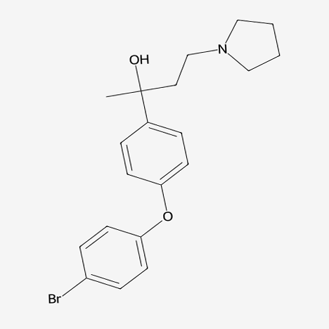 CC(O)(CCN1CCCC1)c1ccc(Oc2ccc(Br)cc2)cc1